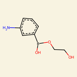 Nc1cccc(B(O)OCCO)c1